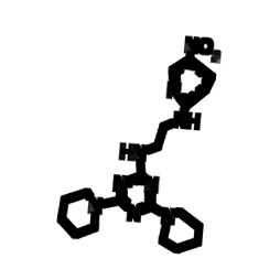 O=[N+]([O-])c1ccc(NCCNc2nc(N3CCCCC3)nc(N3CCCCC3)n2)nc1